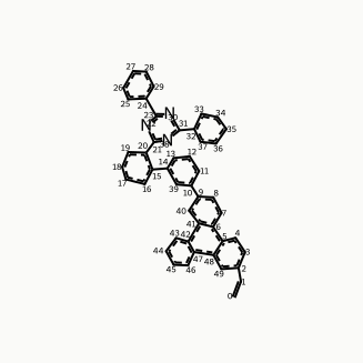 C=Cc1ccc2c3ccc(-c4cccc(-c5ccccc5-c5nc(-c6ccccc6)nc(-c6ccccc6)n5)c4)cc3c3ccccc3c2c1